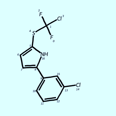 FC(F)(Cl)Sc1ccc(-c2cccc(Cl)c2)[nH]1